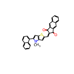 Cn1c(-c2cccc3ccccc23)cc2sc(C=C3C(=O)c4cc5ccccc5cc4C3=O)cc21